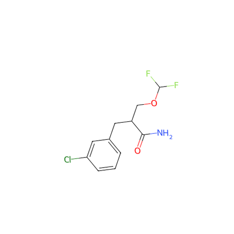 NC(=O)C(COC(F)F)Cc1cccc(Cl)c1